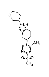 Cc1cc(S(C)(=O)=O)ncc1N1CCc2[nH]c(C3CCCOC3)cc2C1